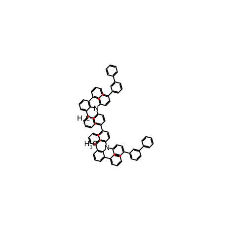 Cc1cc(-c2ccc(N(c3ccc(-c4cccc(-c5ccccc5)c4)cc3)c3c(-c4ccccc4)cccc3-c3ccccc3)c(C)c2)ccc1N(c1ccc(-c2cccc(-c3ccccc3)c2)cc1)c1c(-c2ccccc2)cccc1-c1ccccc1